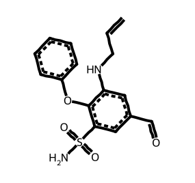 C=CCNc1cc(C=O)cc(S(N)(=O)=O)c1Oc1ccccc1